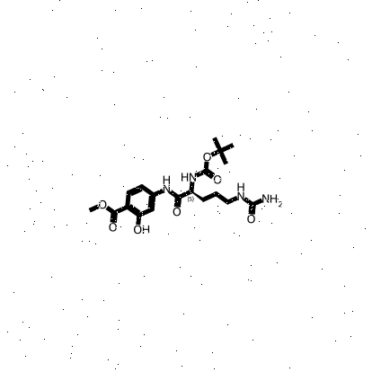 COC(=O)c1ccc(NC(=O)[C@H](CCCNC(N)=O)NC(=O)OC(C)(C)C)cc1O